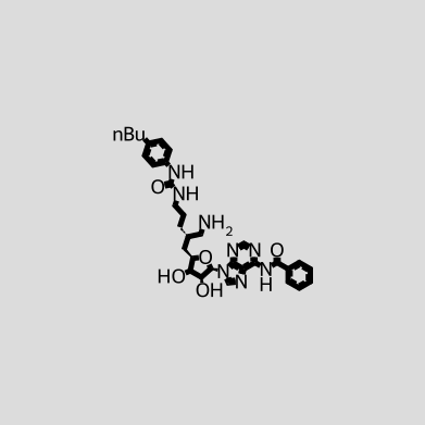 CCCCc1ccc(NC(=O)NCCC[C@H](CN)C[C@H]2O[C@@H](n3cnc4c(NC(=O)c5ccccc5)ncnc43)[C@@H](O)C2O)cc1